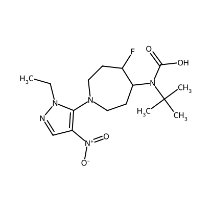 CCn1ncc([N+](=O)[O-])c1N1CCC(F)C(N(C(=O)O)C(C)(C)C)CC1